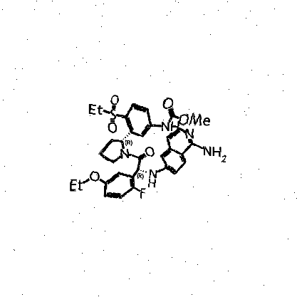 CCOc1ccc(F)c([C@@H](Nc2ccc3c(N)nccc3c2)C(=O)N2CCC[C@@H]2c2cc(NC(=O)OC)ccc2S(=O)(=O)CC)c1